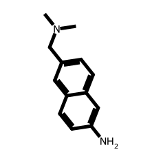 CN(C)Cc1ccc2cc(N)ccc2c1